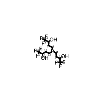 OC(CCP(CCC(O)C(F)(F)F)CCC(O)C(F)(F)F)C(F)(F)F